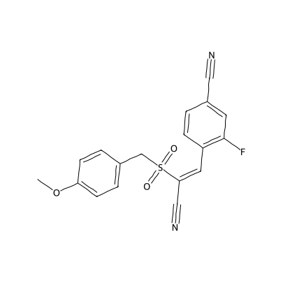 COc1ccc(CS(=O)(=O)/C(C#N)=C\c2ccc(C#N)cc2F)cc1